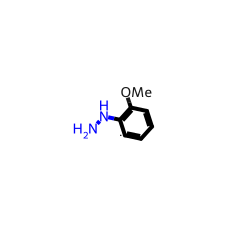 COc1ccc[c]c1NN